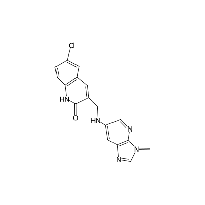 Cn1cnc2cc(NCc3cc4cc(Cl)ccc4[nH]c3=O)cnc21